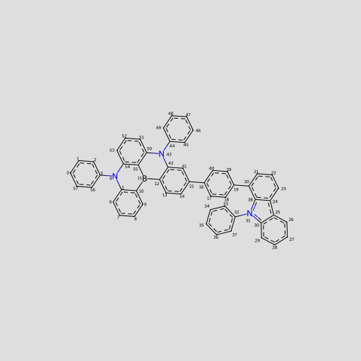 c1ccc(N2c3ccccc3B3c4ccc(-c5ccc(-c6cccc7c8ccccc8n(-c8ccccc8)c67)cc5)cc4N(c4ccccc4)c4cccc2c43)cc1